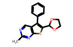 Cc1n[c]c2c(-c3ccccc3)c(C3OCCO3)sc2n1